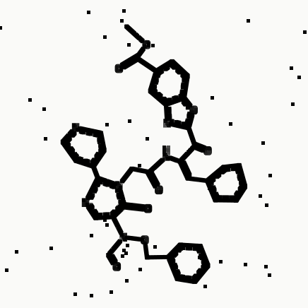 COC(=O)c1ccc2oc(C(=O)C(=Cc3ccccc3)NC(=O)Cn3c(-c4ccncc4)ncc(N(C=O)OCc4ccccc4)c3=O)nc2c1